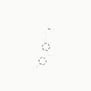 COC(=O)CCOc1ccc(C(O)c2ccc(Cl)cc2)cc1